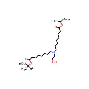 CCCCCCCCCC(CCCCCCCC)OC(=O)CCCCCCCN(CCO)CCCCCCCC(=O)OC(C)(CCC)CCCCCCCC